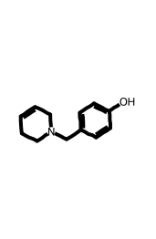 Oc1ccc(CN2CC=CCC2)cc1